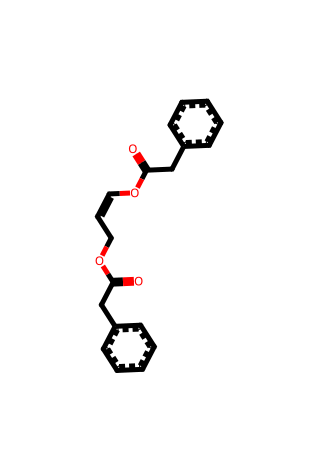 O=C(Cc1ccccc1)O/C=C\COC(=O)Cc1ccccc1